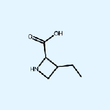 CCC1CNC1C(=O)O